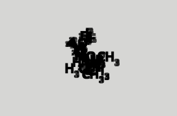 Cc1nc([C@H](NC(=O)c2cc(OCC(F)(F)F)c(C3CC3)cn2)C(C)(C)C)no1